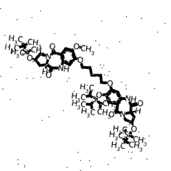 COc1cc2c(cc1OCCCCCOc1cc3c(cc1O[Si](C(C)C)(C(C)C)C(C)C)C(=O)N1C[C@H](O[Si](C)(C)C(C)(C)C)C[C@H]1C(=O)N3)NC(=O)[C@@H]1C[C@@H](O[Si](C)(C)C(C)(C)C)CN1C2=O